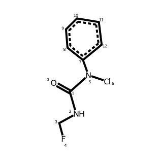 O=C(NCF)N(Cl)c1ccccc1